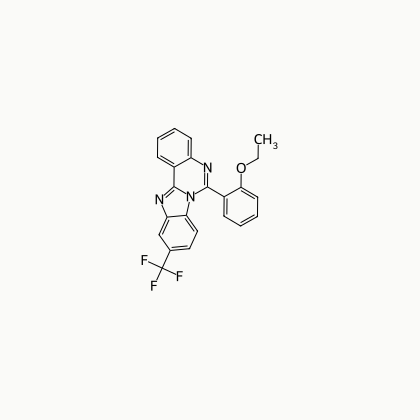 CCOc1ccccc1-c1nc2ccccc2c2nc3cc(C(F)(F)F)ccc3n12